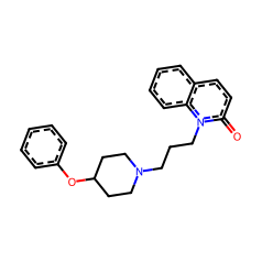 O=c1ccc2ccccc2n1CCCN1CCC(Oc2ccccc2)CC1